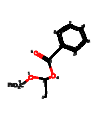 CCOC(=O)OC(C)OC(=O)c1cc[c]cc1